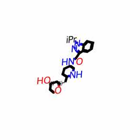 CC(C)n1nc(C(=O)NC2CCC(C[C@H]3C[C@@H](O)CCO3)NC2)c2ccccc21